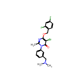 Cc1nc(OCc2ccc(F)cc2F)c(Br)c(=O)n1-c1cccc(CN(C)C)c1